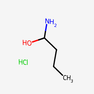 CCCC(N)O.Cl